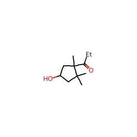 CCC(=O)C1(C)CC(O)CC1(C)C